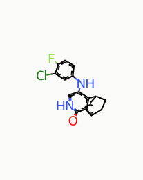 O=c1[nH]cc(Nc2ccc(F)c(Cl)c2)c2c1C1CCC2CC1